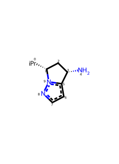 CC(C)[C@@H]1C[C@H](N)c2ccnn21